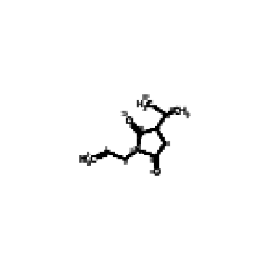 C=CCN1C(=O)CC(C(C)C)C1=O